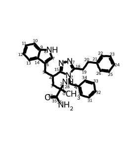 CC(N)(CC(Cc1c[nH]c2ccccc12)c1nnc(CCc2ccccc2)n1Cc1ccccc1)C(N)=O